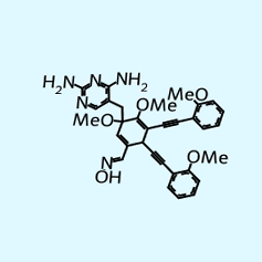 COC1=C(C#Cc2ccccc2OC)C(C#Cc2ccccc2OC)C(/C=N/O)=CC1(Cc1cnc(N)nc1N)OC